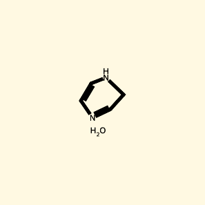 C1=CNCC=N1.O